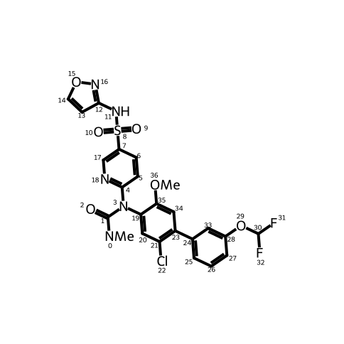 CNC(=O)N(c1ccc(S(=O)(=O)Nc2ccon2)cn1)c1cc(Cl)c(-c2cccc(OC(F)F)c2)cc1OC